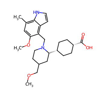 COCC1CCN(Cc2c(OC)cc(C)c3[nH]ccc23)C([C@H]2CC[C@@H](C(=O)O)CC2)C1